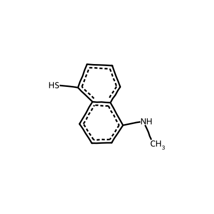 CNc1cccc2c(S)cccc12